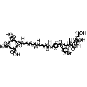 O=C(O)CC[C@@H](NC(=O)N[C@H](CCCCN(Cc1ccc(Br)nc1)C(=O)c1ccc(CNC(=O)CCCCNC(=O)CCCCCCNC(=O)CN2CCN(CC(=O)O)CCN(CC(=O)O)CCN(CC(=O)O)CC2)cc1)C(=O)O)C(=O)O